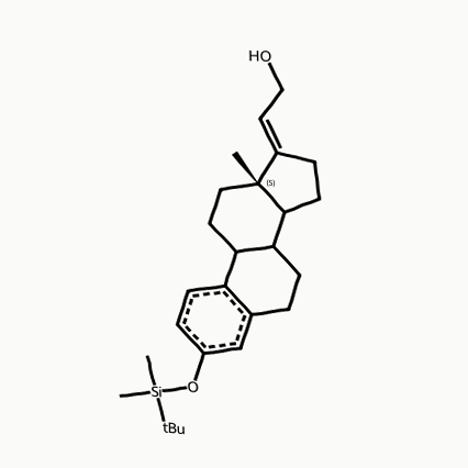 CC(C)(C)[Si](C)(C)Oc1ccc2c(c1)CCC1C2CC[C@]2(C)C(=CCO)CCC12